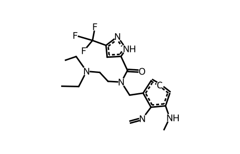 C=Nc1c(CN(CCN(CC)CC)C(=O)c2cc(C(F)(F)F)n[nH]2)cccc1NC